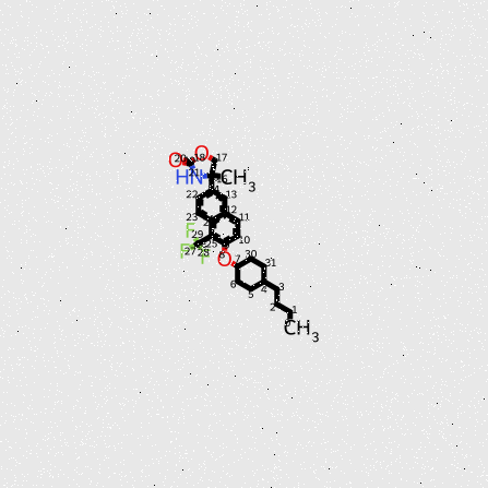 CCCCC1CCC(Oc2ccc3cc(C4(C)COC(=O)N4)ccc3c2C(F)(F)F)CC1